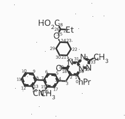 CCCc1c(Cc2ccc(-c3ccccc3C#N)c(C)c2)c(=O)n([C@H]2CC[C@H](OC(CC)C(=O)O)CC2)c2nc(C)nn12